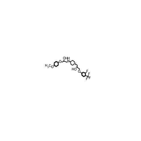 COc1ccc(OC[C@H](O)CNC2CCN(C[C@H](O)COc3ccc(C(F)(F)F)c(F)c3)CC2)cc1